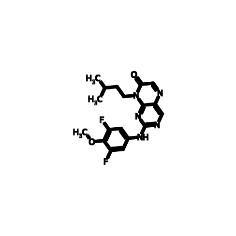 COc1c(F)cc(Nc2ncc3ncc(=O)n(CCC(C)C)c3n2)cc1F